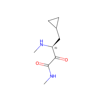 CNC(=O)C(=O)[C@H](CC1CC1)NC